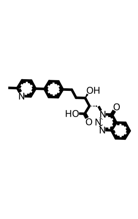 Cc1ccc(-c2ccc(CC[C@@H](O)[C@H](Cn3nnc4ccccc4c3=O)C(=O)O)cc2)cn1